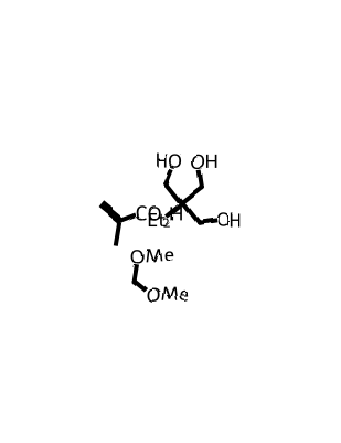 C=C(C)C(=O)O.CCC(CO)(CO)CO.COCOC